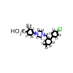 CCc1cc(N2CCN(CC3=C(c4ccc(Cl)cc4)CCC(C)(C)C3)CC2)ccc1C(=O)O